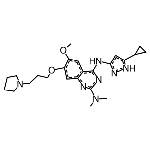 COc1cc2c(Nc3cc(C4CC4)[nH]n3)nc(N(C)C)nc2cc1OCCCN1CCCC1